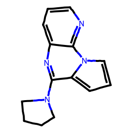 c1cnc2c(c1)nc(N1CCCC1)c1cccn12